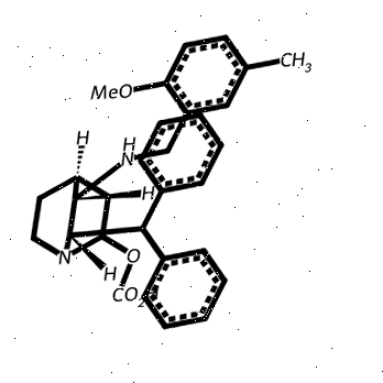 COc1ccc(C)cc1CN[C@H]1[C@H]2CCN(C(OC(=O)O)C2)[C@H]1C(c1ccccc1)c1ccccc1